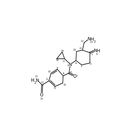 N=C1CCC(N(C(=O)C2C=CC(C(N)=O)=CC2)C2CC2)CC1CN